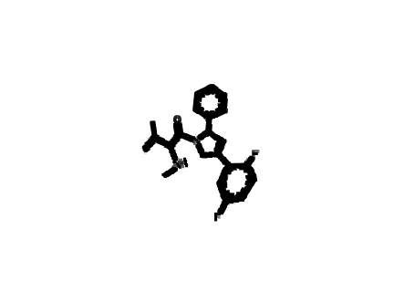 CNC(C(=O)N1CC(c2cc(F)ccc2F)=CC1c1ccccc1)C(C)C